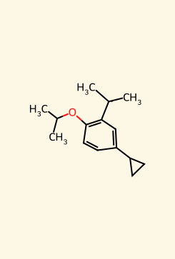 C[C](C)c1cc(C2CC2)ccc1OC(C)C